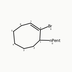 CCCCCC1CCCCC/C=C\1Br